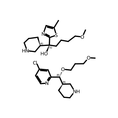 COCCCC[C@@](O)(c1ncc(C)s1)[C@@H]1CCCNC1.COCCCO[C@@H](c1cc(Cl)ccn1)[C@@H]1CCCNC1